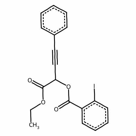 CCOC(=O)C(C#Cc1ccccc1)OC(=O)c1ccccc1I